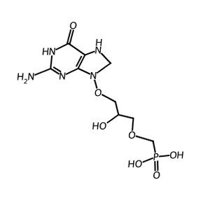 Nc1nc2c(c(=O)[nH]1)NCN2OCC(O)COCP(=O)(O)O